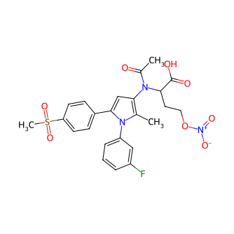 CC(=O)N(c1cc(-c2ccc(S(C)(=O)=O)cc2)n(-c2cccc(F)c2)c1C)C(CCO[N+](=O)[O-])C(=O)O